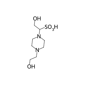 O=S(=O)(O)C(CO)N1CCN(CCO)CC1